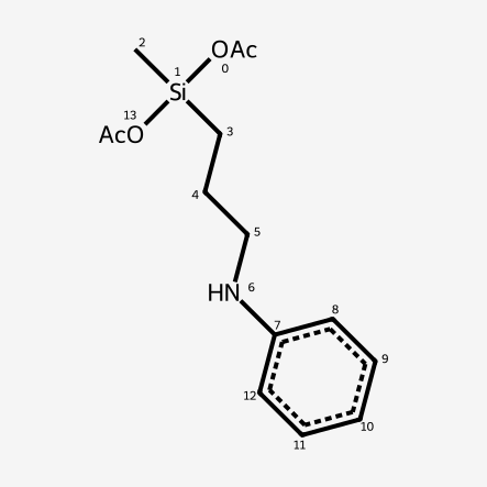 CC(=O)O[Si](C)(CCCNc1ccccc1)OC(C)=O